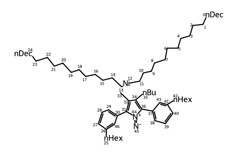 CCCCCCCCCCCCCCCCCCCC[CH2][Ni][CH2]CCCCCCCCCCCCCCCCCCCC.CCCCCCc1cccc(C2=C(C)C(CCCC)=C(c3cccc(CCCCCC)c3)[N+]2=[N-])c1